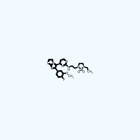 CCN1CCN(CCNc2nccc(-c3c(-c4ccc(F)c(OC)c4)nc4sccn34)n2)S1(=O)=O